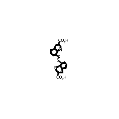 O=C(O)c1cnc2c(SSc3cccc4cc(C(=O)O)cnc34)cccc2c1